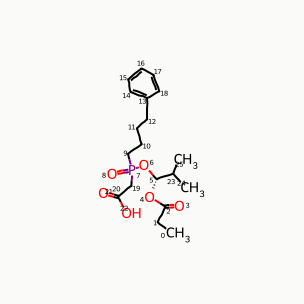 CCC(=O)O[C@H](OP(=O)(CCCCc1ccccc1)CC(=O)O)C(C)C